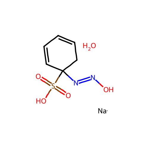 O.O=S(=O)(O)C1(N=NO)C=CC=CC1.[Na]